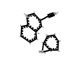 N#Cc1cnc2ccccc2c1.c1ccc2c(c1)N2